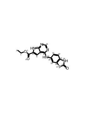 CCOC(=O)c1cc2c(Nc3ccc4[nH]c(=O)sc4c3)ncnc2[nH]1